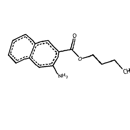 CCCCOC(=O)c1cc2ccccc2cc1N